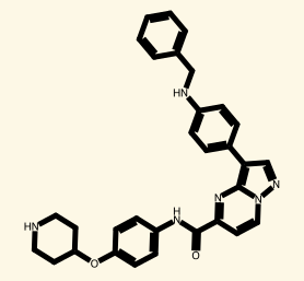 O=C(Nc1ccc(OC2CCNCC2)cc1)c1ccn2ncc(-c3ccc(NCc4ccccc4)cc3)c2n1